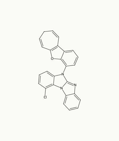 Clc1cccc2c1n1c3ccccc3nc1n2-c1cccc2c3c(oc12)C=CCC=C3